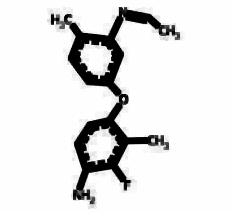 C/C=N\c1cc(Oc2ccc(N)c(F)c2C)ccc1C